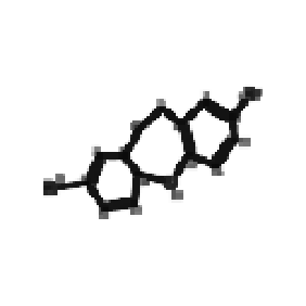 BrC1=CC2CCc3cc(Br)ccc3OC2C=C1